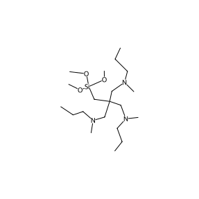 CCCN(C)CC(CN(C)CCC)(CN(C)CCC)C[Si](OC)(OC)OC